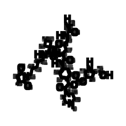 CN1CCN(C(=O)C(OC(=O)O[C@H]2CN[C@H](CO)C2)c2ccc(NC(=O)C(CCCNC(N)=O)NC(=O)C3(C(=O)NCCCCCN4C(=O)C=CC4=O)CCC3)cc2)CC1